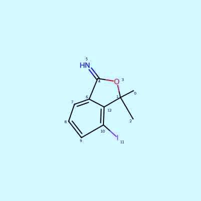 CC1(C)OC(=N)c2cccc(I)c21